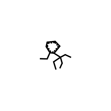 CCc1ccccc1C(CC)(CC)CC